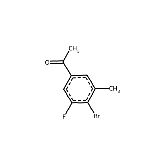 CC(=O)c1cc(C)c(Br)c(F)c1